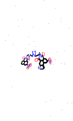 C[C@H](CNCCNC[C@@H](C)N1C(=O)c2cc([N+](=O)[O-])cc3c2c(cc2ncccc23)C1=O)N1C(=O)c2cccc3cc([N+](=O)[O-])cc(c23)C1=O